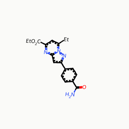 CCOC(=O)c1cc(CC)n2nc(-c3ccc(C(N)=O)cc3)cc2n1